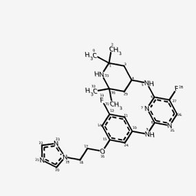 CC1(C)CC(Nc2nc(Nc3cc(F)cc(OCCn4cncn4)c3)ncc2F)CC(C)(C)N1